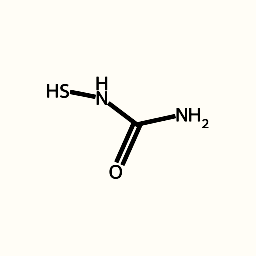 NC(=O)NS